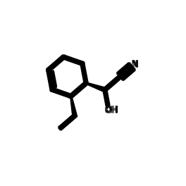 CC[C@H]1C=CCC[C@H]1C(O)C#N